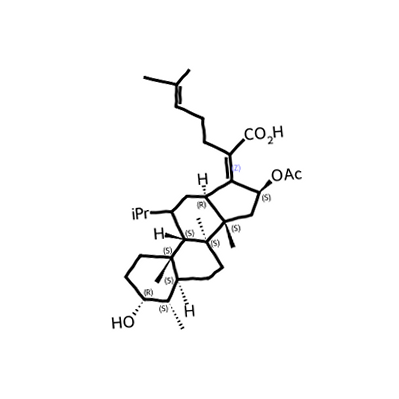 CC(=O)O[C@H]1C[C@@]2(C)[C@@H](CC(C(C)C)[C@H]3[C@@]4(C)CC[C@@H](O)[C@@H](C)[C@@H]4CC[C@@]32C)/C1=C(\CCC=C(C)C)C(=O)O